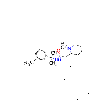 Cc1cccc(C(C)(C)NC(=O)CC2CCCCN2C)c1